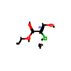 CCOC(=O)/C(Cl)=C/[O-].[K+]